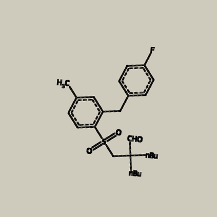 CCCCC(C=O)(CCCC)CS(=O)(=O)c1ccc(C)cc1Cc1ccc(F)cc1